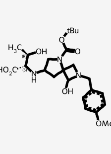 COc1ccc(CN2CC3(CC(N[C@H](C(=O)O)[C@@H](C)O)CN3C(=O)OC(C)(C)C)C2O)cc1